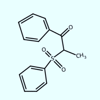 CC(C(=O)c1ccccc1)S(=O)(=O)c1ccccc1